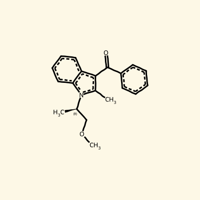 COC[C@@H](C)n1c(C)c(C(=O)c2ccccc2)c2ccccc21